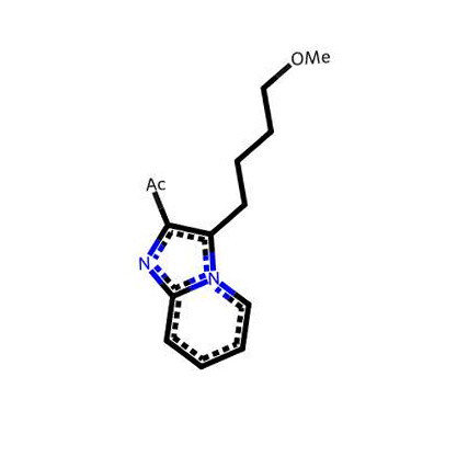 COCCCCc1c(C(C)=O)nc2ccccn12